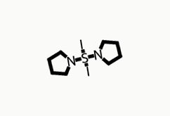 IS(I)(N1CCCC1)N1CCCC1